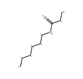 CCCCC[CH]OC(=O)CC